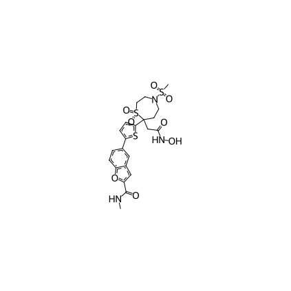 CNC(=O)c1cc2cc(-c3ccc(C4(CC(=O)NO)CCN(S(C)(=O)=O)CCS4(=O)=O)s3)ccc2o1